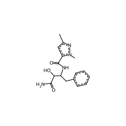 Cc1cc(C(=O)NC(Cc2ccccc2)C(O)C(N)=O)n(C)n1